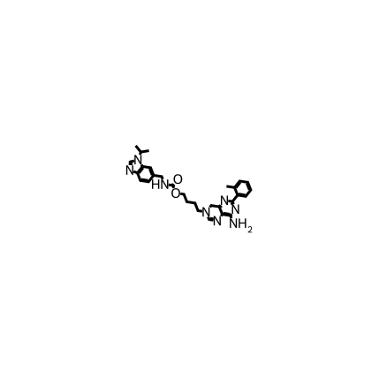 Cc1ccccc1-c1nc(N)c2c(n1)CN(CCCCOC(=O)NCc1ccc3ncn(C(C)C)c3c1)C=N2